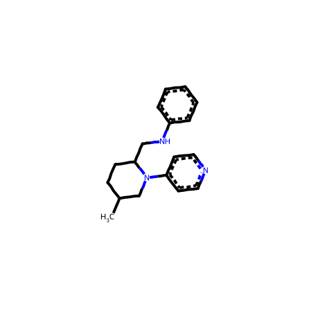 CC1CCC(CNc2ccccc2)N(c2ccncc2)C1